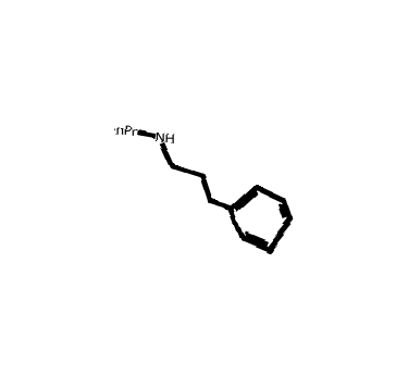 CC[CH]NCCCc1ccccc1